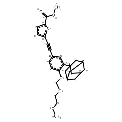 COCCOCOc1ccc(C#Cc2ccc(C(=O)OC)s2)cc1C12CC3CC(CC(C3)C1)C2